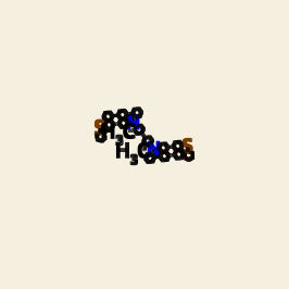 Cc1cc(-c2ccc(N(c3ccc(-c4ccc5sc6ccccc6c5c4)cc3)c3ccccc3-c3ccc(-c4ccccc4)cc3)c(C)c2)ccc1N(c1ccc(-c2ccc3sc4ccccc4c3c2)cc1)c1ccccc1-c1ccc(-c2ccccc2)cc1